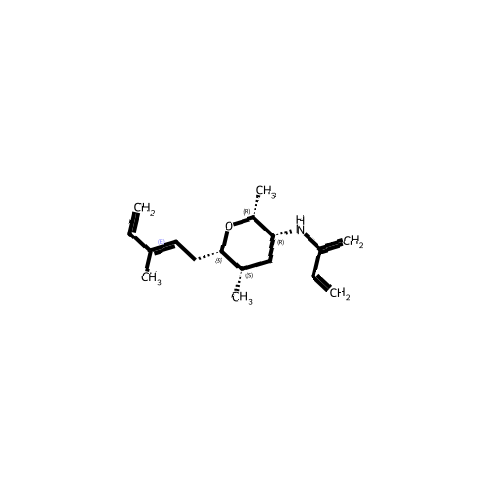 C=CC(=C)N[C@@H]1C[C@H](C)[C@H](C/C=C(\C)C=C)O[C@@H]1C